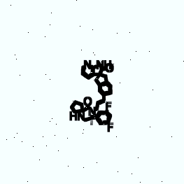 C[C@]1(c2cc(F)cc(F)c2)CNC2(CCCC2)C(=O)N1CC=Cc1ccc2c(c1)C[C@]1(C2)C(=O)Nc2ncccc21